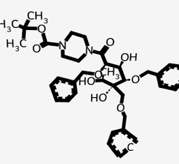 C[C@@H](O)[C@](O)(COCc1ccccc1)[C@@H](OCc1ccccc1)[C@H](O)[C@@H](OCc1ccccc1)C(=O)N1CCN(C(=O)OC(C)(C)C)CC1